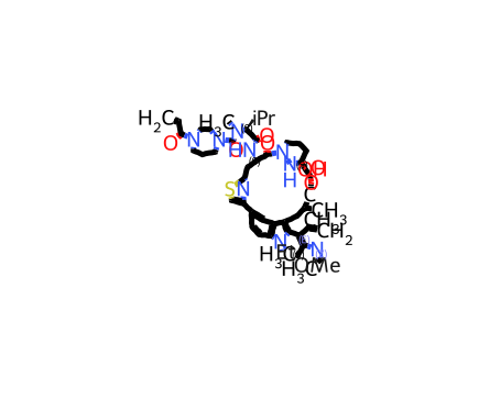 C=CC(=O)N1CCCN(C(=O)N(C)[C@H](C(=O)N[C@H]2Cc3nc(cs3)-c3ccc4c(c3)c(c(/C(C=C)=C(/N=C\C)[C@H](C)OC)n4CC)CC(C)(C)COC(=O)[C@@]3(O)CCCN(N3)C2=O)C(C)C)CC1